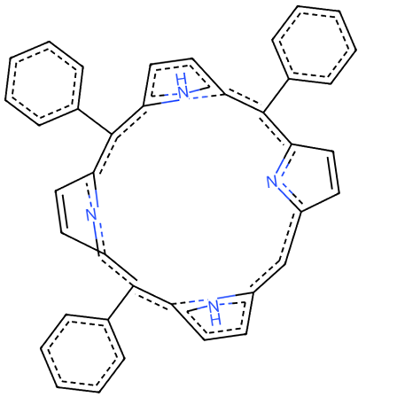 C1=Cc2nc1cc1ccc([nH]1)c(-c1ccccc1)c1nc(c(-c3ccccc3)c3ccc([nH]3)c2-c2ccccc2)C=C1